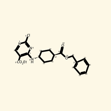 CCOC(=O)c1cnc(Cl)nc1N[C@H]1CC[C@H](C(=O)OCc2ccccc2)CC1